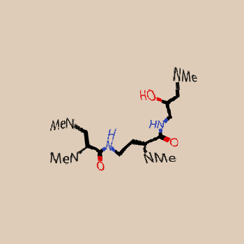 CNCC(O)CNC(=O)[C@H](CCNC(=O)[C@H](CNC)NC)NC